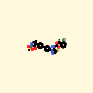 C[C@@H](OC(=O)Nc1c(F)cnn1-c1ccc(-c2ccc(C3(C(=O)NS(C)(=O)=O)CC3)cc2)cc1)c1ccccc1Cl